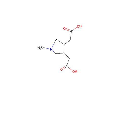 CN1CC(CC(=O)O)C(CC(=O)O)C1